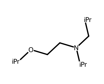 CC(C)CN(CCOC(C)C)C(C)C